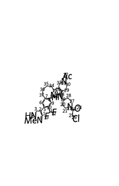 CN/C=C(\C=N)c1cc2c(cc1C(F)F)NC(C1=C(NC3CCN(C(=O)CCl)CC3)CCN(C(C)=O)C1)CCCC2